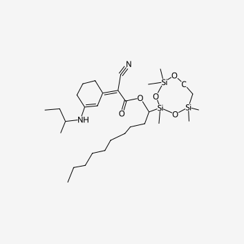 CCCCCCCCCC(OC(=O)/C(C#N)=C1\C=C(NC(C)CC)CCC1)[Si]1(C)O[Si](C)(C)CCO[Si](C)(C)O1